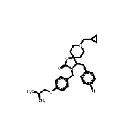 CC(C)COc1ccc(CN2C(=O)OC3(CCN(CC4CC4)CC3)C2Cc2ccc(Cl)cc2)cc1